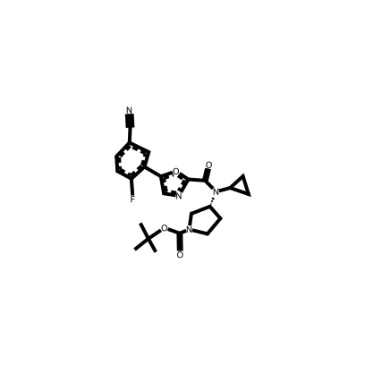 CC(C)(C)OC(=O)N1CC[C@@H](N(C(=O)c2ncc(-c3cc(C#N)ccc3F)o2)C2CC2)C1